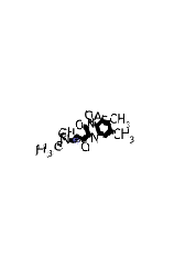 CC(=O)On1c(=O)c(C(=O)/C=C/N(C)C)nc2cc(C)c(C)cc21